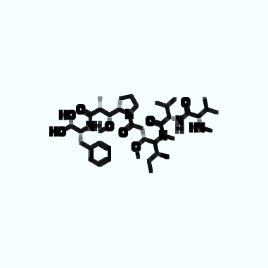 CC[C@H](C)C([C@@H](CC(=O)N1CCC[C@H]1[C@H](OC)[C@@H](C)C(=O)N[C@H](Cc1ccccc1)C(O)O)OC)N(C)C(=O)[C@@H](NC(=O)[C@@H](NC)C(C)C)C(C)C